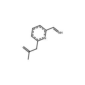 C=C(C)Cc1cccc(C=N)n1